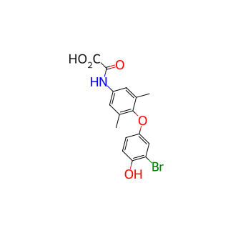 Cc1cc(NC(=O)C(=O)O)cc(C)c1Oc1ccc(O)c(Br)c1